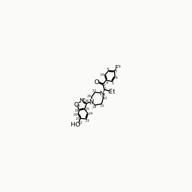 CCC(C(=O)c1ccc(F)cc1)N1CCCN(c2noc3cc(O)ccc23)CC1